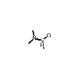 CN(C)[SiH](C)Cl